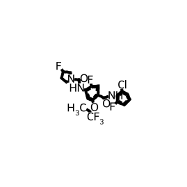 CC(Oc1cc(NC(=O)N2CCC(F)C2)c(F)cc1C(=O)Nc1c(F)cccc1Cl)C(F)(F)F